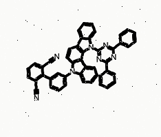 N#Cc1cccc(C#N)c1-c1cccc(-n2c3ccccc3c3c2ccc2c4ccccc4n(-c4nc(-c5ccccc5)nc(-c5ccccc5)n4)c23)c1